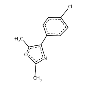 [CH2]c1oc(C)nc1-c1ccc(Cl)cc1